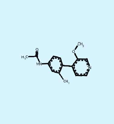 COc1cnccc1-c1ccc(NC(C)=O)cc1C